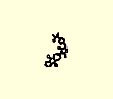 CC(=O)N(C)c1ccc(/C=C2/OC(=S)N(C3=CC=C4C(=O)c5ccccc5C(=O)C4=CC3)C2=O)cc1